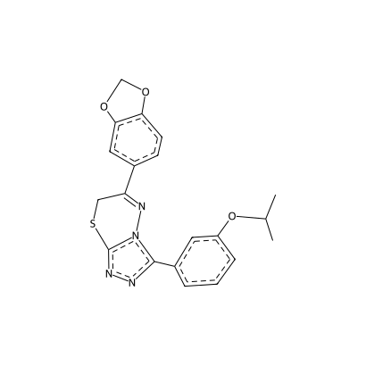 CC(C)Oc1cccc(-c2nnc3n2N=C(c2ccc4c(c2)OCO4)CS3)c1